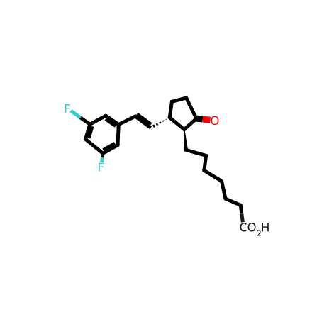 O=C(O)CCCCCC[C@@H]1C(=O)CC[C@H]1C=Cc1cc(F)cc(F)c1